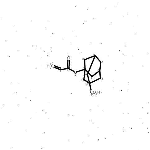 C=CC(=O)OC12CC3CC(C1)CC(C(=O)O)(C3)C2